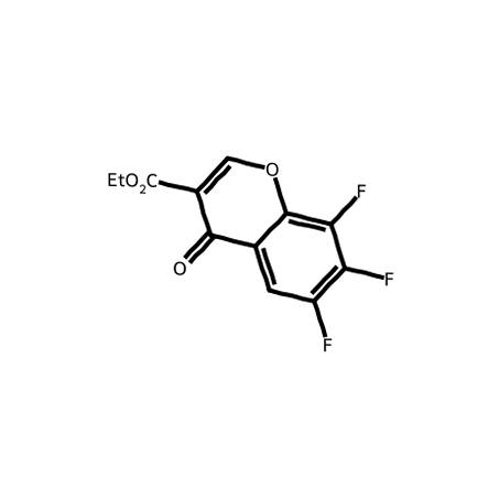 CCOC(=O)c1coc2c(F)c(F)c(F)cc2c1=O